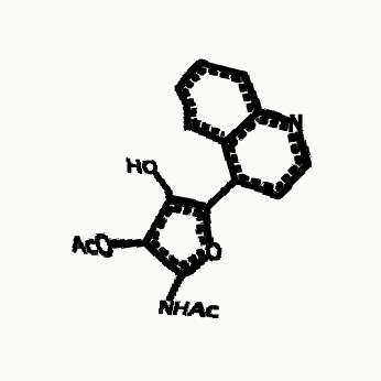 CC(=O)Nc1oc(-c2ccnc3ccccc23)c(O)c1OC(C)=O